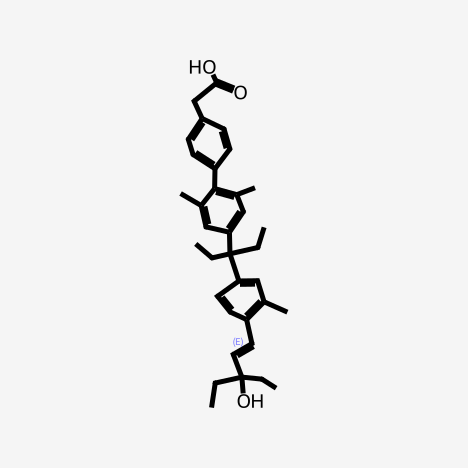 CCC(O)(/C=C/c1ccc(C(CC)(CC)c2cc(C)c(-c3ccc(CC(=O)O)cc3)c(C)c2)cc1C)CC